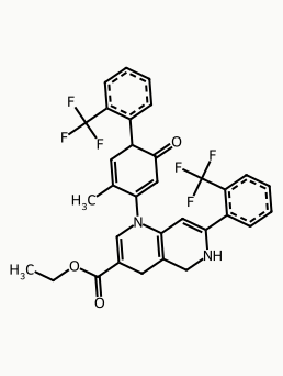 CCOC(=O)C1=CN(C2=CC(=O)C(c3ccccc3C(F)(F)F)C=C2C)C2=C(CNC(c3ccccc3C(F)(F)F)=C2)C1